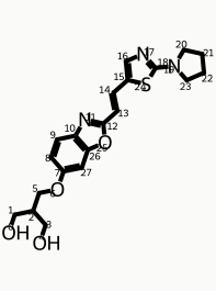 OCC(CO)COc1ccc2nc(/C=C/c3cnc(N4CCCC4)s3)oc2c1